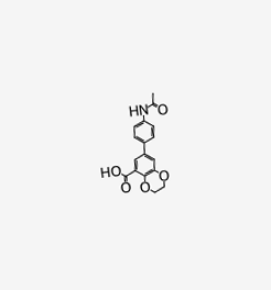 CC(=O)Nc1ccc(-c2cc3c(c(C(=O)O)c2)OCCO3)cc1